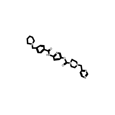 O=C(Nc1ccc(OC(=O)N2CCN(Cc3ccncn3)CC2)cn1)c1ccc(CN2CCCCC2)cc1